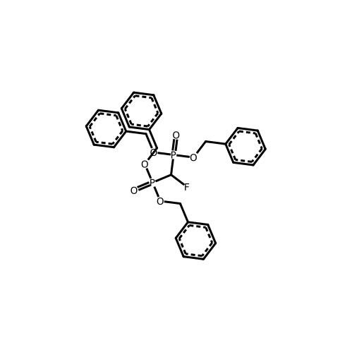 O=P(OCc1ccccc1)(OCc1ccccc1)C(F)P(=O)(OCc1ccccc1)OCc1ccccc1